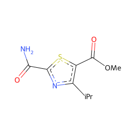 COC(=O)c1sc(C(N)=O)nc1C(C)C